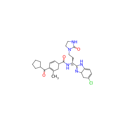 CC1=C(C(=O)C2CCCC2)C=CC(C(=O)N[C@@H](CCN2CCNC2=O)C2=NC3CC(Cl)=CC=C3N2)C1